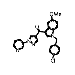 COc1ccc2c(c1)c(C(=O)c1cnn(-c3cccnc3)c1)cn2Cc1ccc(Cl)cc1